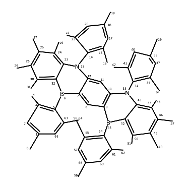 Cc1cc(C)c(B2c3cc4c(cc3N(c3c(C)cc(C)cc3C)c3c(C)c(C)c(C)c(C)c32)N(c2c(C)cc(C)cc2C)c2c(C)c(C)c(C)c(C)c2B4c2c(C)cc(C)cc2C)c(C)c1